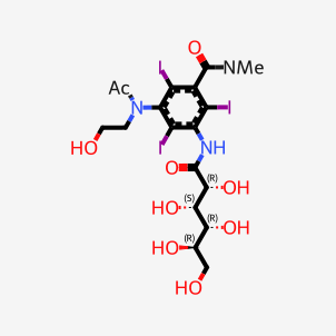 CNC(=O)c1c(I)c(NC(=O)[C@H](O)[C@@H](O)[C@H](O)[C@H](O)CO)c(I)c(N(CCO)C(C)=O)c1I